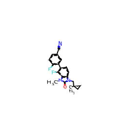 Cn1c(=O)n(CC2(C)CC2)c2ccc(-c3cc(C#N)ccc3F)c(F)c21